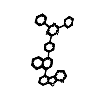 c1ccc(-c2nc(-c3ccccc3)nc(-c3ccc(-c4ccc(-c5cccc6oc7ncccc7c56)c5ccccc45)cc3)n2)cc1